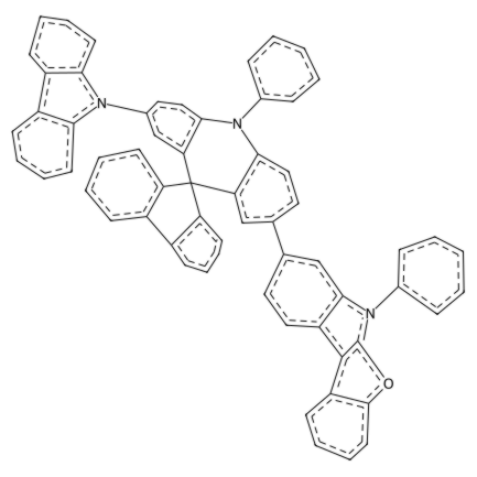 c1ccc(N2c3ccc(-c4ccc5c6c7ccccc7oc6n(-c6ccccc6)c5c4)cc3C3(c4ccccc4-c4ccccc43)c3cc(-n4c5ccccc5c5ccccc54)ccc32)cc1